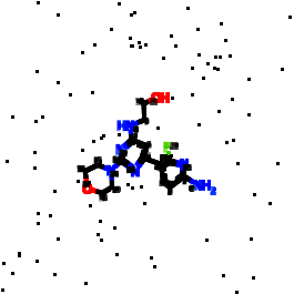 Nc1ccc(-c2cc(NCCO)nc(N3CCOCC3)n2)c(F)n1